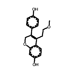 COCCC1=C(c2ccc(O)cc2)COc2cc(O)ccc21